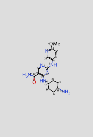 COc1ccc(Nc2ncc(C(N)=O)c(N[C@H]3CC[C@H](N)CC3)n2)cn1